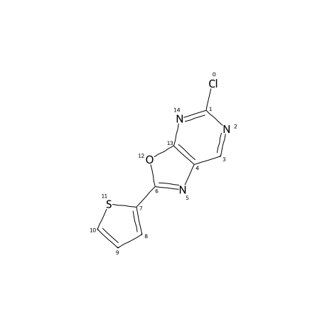 Clc1ncc2nc(-c3cccs3)oc2n1